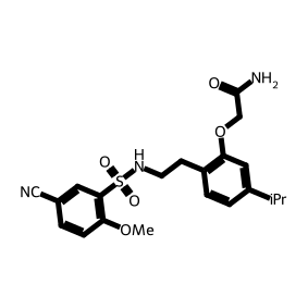 COc1ccc(C#N)cc1S(=O)(=O)NCCc1ccc(C(C)C)cc1OCC(N)=O